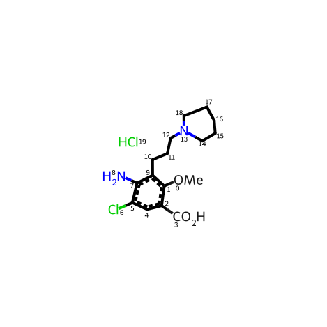 COc1c(C(=O)O)cc(Cl)c(N)c1CCCN1CCCCC1.Cl